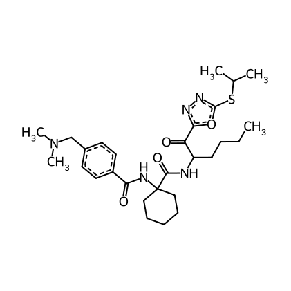 CCCCC(NC(=O)C1(NC(=O)c2ccc(CN(C)C)cc2)CCCCC1)C(=O)c1nnc(SC(C)C)o1